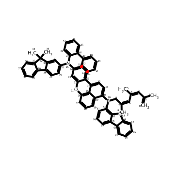 C=C(C)/C=C(C)\C=C(\C)CB(c1ccc2c3c(cccc13)Oc1cc(N(c3ccc4c(c3)C(C)(C)c3ccccc3-4)c3ccccc3-c3ccccc3)ccc1-2)c1cccc2c1oc1ccccc12